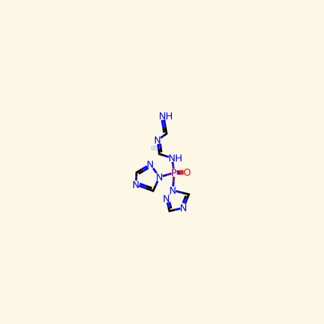 N=C/N=C\NP(=O)(n1cncn1)n1cncn1